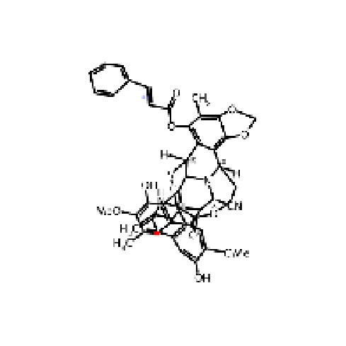 C=CCN1C2c3c(cc(C)c(OC)c3O)CC1[C@H](C#N)N1C2[C@@H]2SC[C@]3(NCCc4cc(O)c(OC)cc43)C(=O)OCC[C@H]1c1c3c(c(C)c(OC(=O)/C=C/c4ccccc4)c12)OCO3